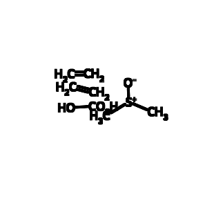 C=C.C=C.C[S+](C)[O-].O=C(O)O